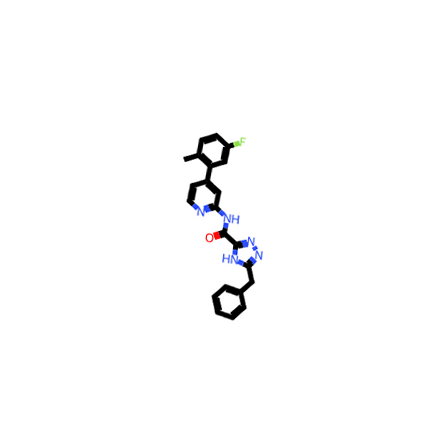 Cc1ccc(F)cc1-c1ccnc(NC(=O)c2nnc(Cc3ccccc3)[nH]2)c1